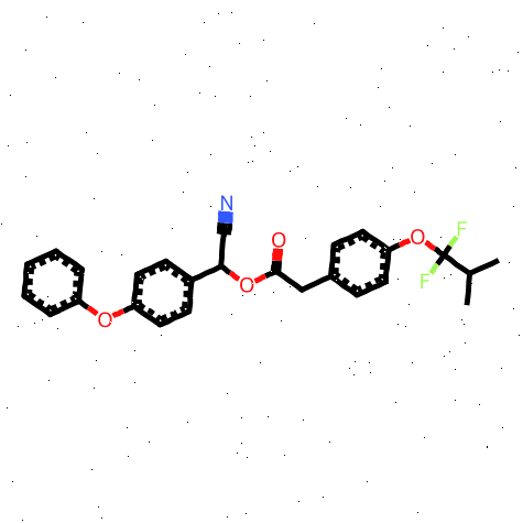 CC(C)C(F)(F)Oc1ccc(CC(=O)OC(C#N)c2ccc(Oc3ccccc3)cc2)cc1